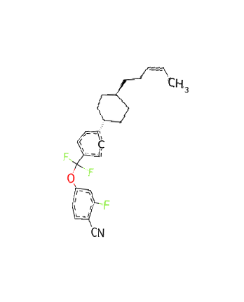 C/C=C\CC[C@H]1CC[C@H](c2ccc(C(F)(F)Oc3ccc(C#N)c(F)c3)cc2)CC1